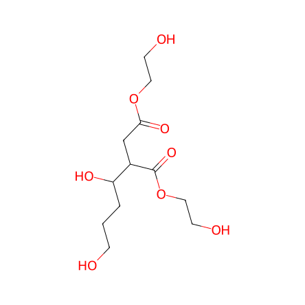 O=C(CC(C(=O)OCCO)C(O)CCCO)OCCO